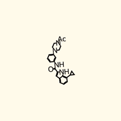 CC(=O)N1CCN(c2cccc(NC(=O)c3cc4cccc(C5CC5)c4[nH]3)c2)CC1